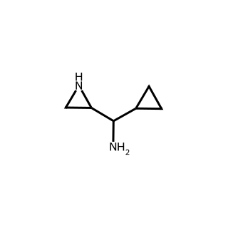 NC(C1CC1)C1CN1